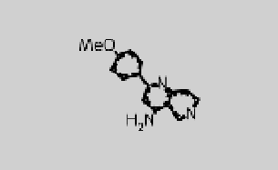 COc1ccc(-c2cc(N)c3cnccc3n2)cc1